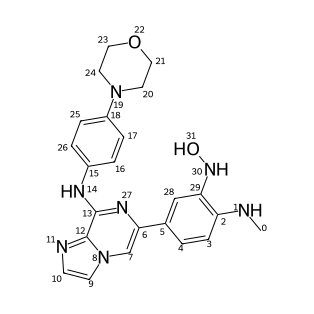 CNc1ccc(-c2cn3ccnc3c(Nc3ccc(N4CCOCC4)cc3)n2)cc1NO